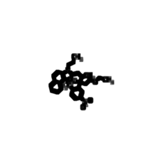 C=C(/C=C1\Oc2c(ccc3ccccc23)N1CCC)C(C)(CC(=O)OCC)c1cc([N+](=O)[O-])ccc1C